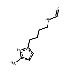 Cc1ccc(CCCCNC=O)[nH]1